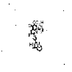 CC(NC(=O)C1CN(c2nc3c(cc2F)c(=O)c(C(=O)O)cn3-c2nccs2)C1)C1CCCCO1